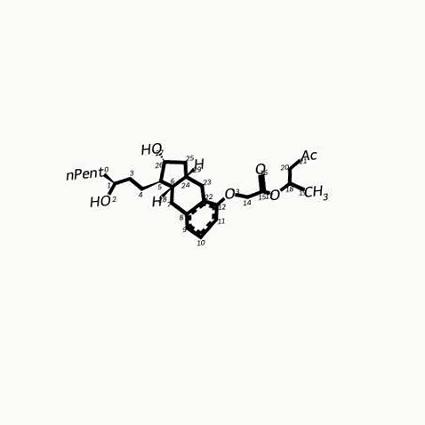 CCCCC[C@H](O)CC[C@@H]1[C@H]2Cc3cccc(OCC(=O)OC(C)CC(C)=O)c3C[C@H]2C[C@H]1O